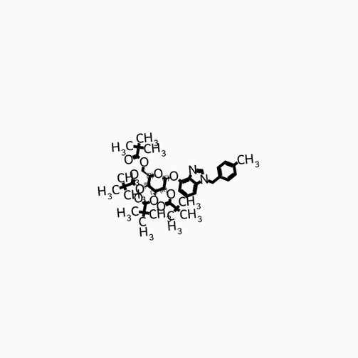 Cc1ccc(Cn2cnc3c(O[C@@H]4O[C@H](COC(=O)C(C)(C)C)[C@@H](OC(=O)C(C)(C)C)[C@H](OC(=O)C(C)(C)C)[C@H]4OC(=O)C(C)(C)C)cccc32)cc1